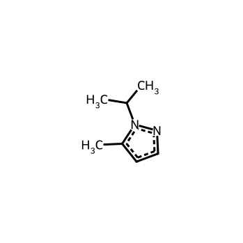 Cc1ccnn1C(C)C